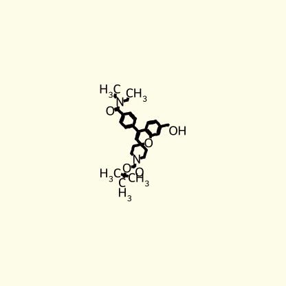 CCN(CC)C(=O)c1ccc(C2=CC3(CCN(C(=O)OC(C)(C)C)CC3)Oc3cc(CO)ccc32)cc1